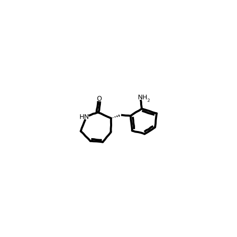 Nc1ccccc1C[C@@H]1CC=CCNC1=O